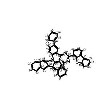 c1ccc(-c2nc(-c3cc4c(cc3-n3c5ccccc5c5cc6ccccc6cc53)oc3ccccc34)nc(-c3cccc4c3sc3ccccc34)n2)cc1